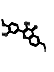 COc1ccc(-c2oc3ccc(CI)cc3c(=O)c2O)cc1O